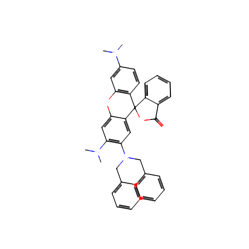 CCN(CC)c1ccc2c(c1)Oc1cc(N(CC)CC)c(N(Cc3ccccc3)Cc3ccccc3)cc1C21OC(=O)c2ccccc21